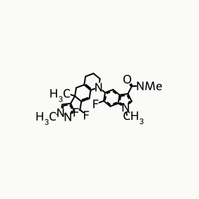 CNC(=O)c1cn(C)c2cc(F)c(N3CCCC4=C3C=C(C(F)F)C(C)(c3cnn(C)c3)C4)cc12